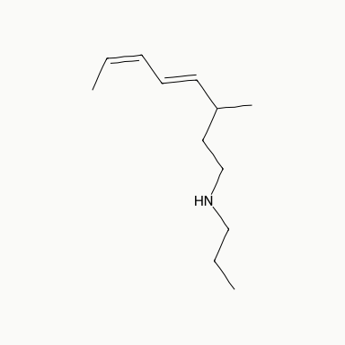 C/C=C\C=C\C(C)CCNCCC